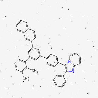 Cc1cccc(-c2cc(-c3ccc(-c4c(-c5ccccc5)nc5ccccn45)cc3)cc(-c3ccc4ccccc4c3)c2)c1C